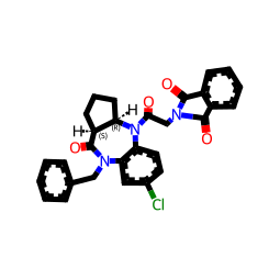 O=C1c2ccccc2C(=O)N1CC(=O)N1c2ccc(Cl)cc2N(Cc2ccccc2)C(=O)[C@H]2CCC[C@H]21